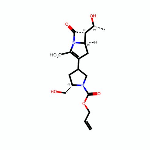 C=CCOC(=O)N1CC(C2=C(C(=O)O)N3C(=O)[C@H]([C@@H](C)O)[C@H]3C2)C[C@H]1CO